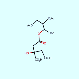 CC(=O)OCC(OC(C)=O)C(OC(C)=O)OC(=O)CC(O)(CC(=O)O)C(=O)O